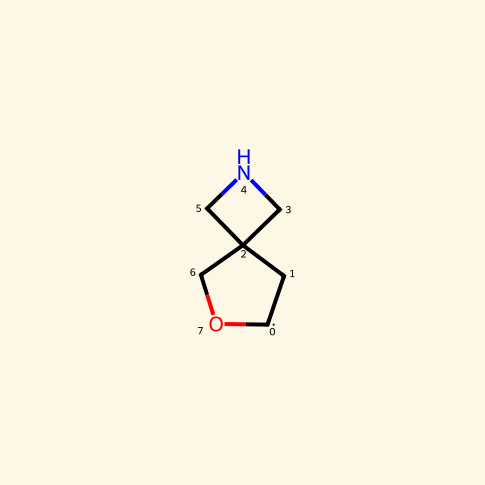 [CH]1CC2(CNC2)CO1